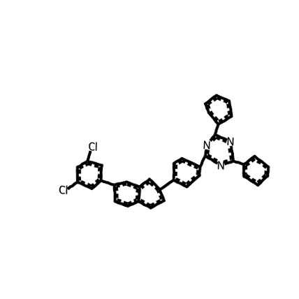 Clc1cc(Cl)cc(-c2ccc3ccc(-c4ccc(-c5nc(-c6ccccc6)nc(-c6ccccc6)n5)cc4)cc3c2)c1